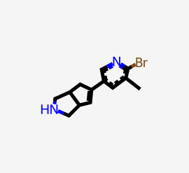 Cc1cc(C2=CC3CNCC3C2)cnc1Br